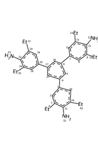 CCc1cc(-c2cc(-c3cc(CC)c(N)c(CC)c3)cc(-c3cc(CC)c(N)c(CC)c3)c2)cc(CC)c1N